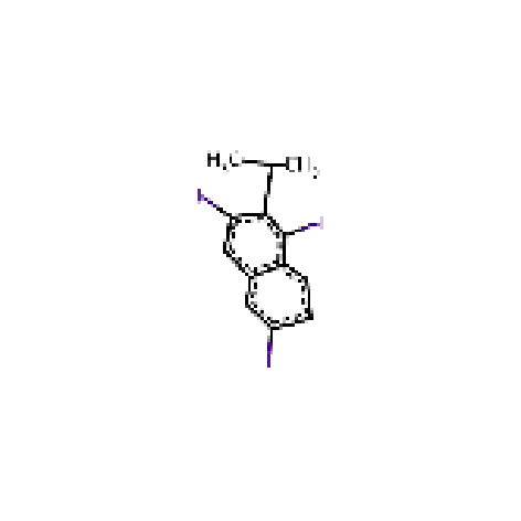 CC(C)c1c(I)cc2cc(I)ccc2c1I